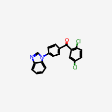 O=C(c1ccc(-n2cnc3ccccc32)cc1)c1cc(Cl)ccc1Cl